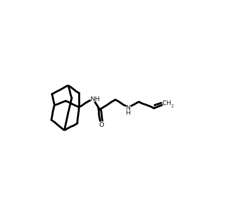 C=CCNCC(=O)NC12CC3CC(CC(C3)C1)C2